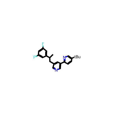 CC(Cc1cncc(-c2ccc(C(C)(C)C)cn2)c1)c1cc(F)cc(F)c1